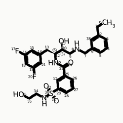 CCc1cccc(CNC[C@H](O)[C@H](Cc2cc(F)cc(F)c2)NC(=O)c2cccc(S(=O)(=O)NCCO)c2)c1